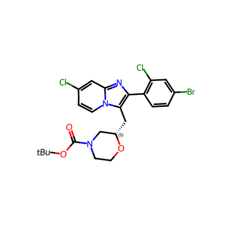 CC(C)(C)OC(=O)N1CCO[C@@H](Cc2c(-c3ccc(Br)cc3Cl)nc3cc(Cl)ccn23)C1